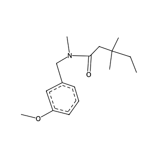 CCC(C)(C)CC(=O)N(C)Cc1cccc(OC)c1